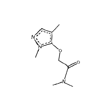 Cc1cnn(C)c1OCC(=O)N(C)C